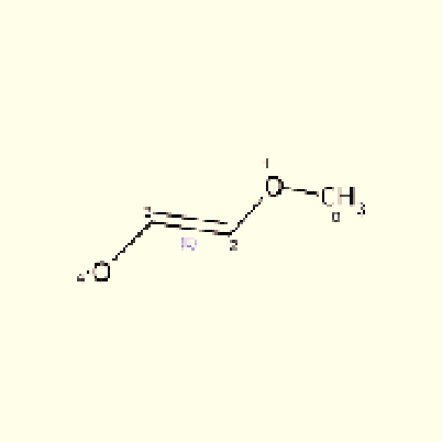 CO/C=C/[O]